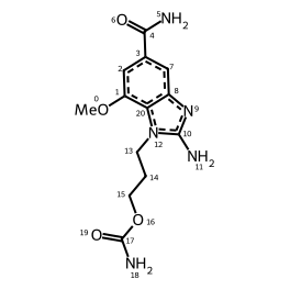 COc1cc(C(N)=O)cc2nc(N)n(CCCOC(N)=O)c12